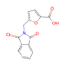 O=C(O)c1ccc(CN2C(=O)c3ccccc3C2=O)o1